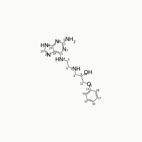 Nc1nc(NCCNCC(O)COc2ccccc2)c2nc[nH]c2n1